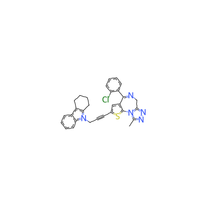 Cc1nnc2n1-c1sc(C#CCn3c4c(c5ccccc53)CCCC4)cc1C(c1ccccc1Cl)=NC2